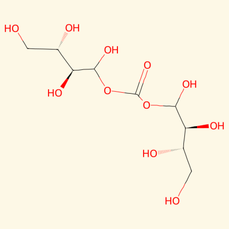 O=C(OC(O)[C@@H](O)[C@@H](O)CO)OC(O)[C@@H](O)[C@@H](O)CO